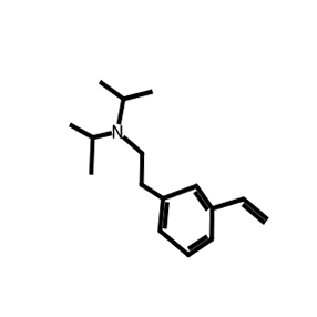 C=Cc1cccc(CCN(C(C)C)C(C)C)c1